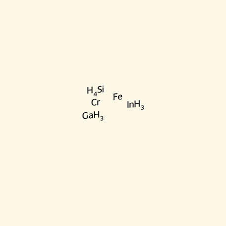 [Cr].[Fe].[GaH3].[InH3].[SiH4]